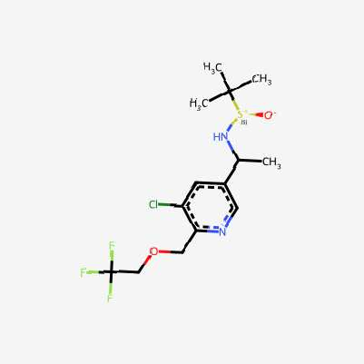 CC(N[S@+]([O-])C(C)(C)C)c1cnc(COCC(F)(F)F)c(Cl)c1